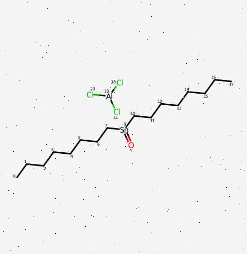 CCCCCCC[CH2][Sn](=[O])[CH2]CCCCCCC.[Cl][Al]([Cl])[Cl]